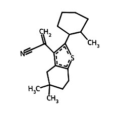 C=C(C#N)c1c(C2CCCCC2C)sc2c1CC(C)(C)CC2